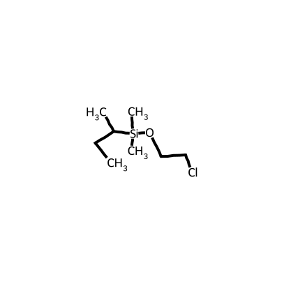 CCC(C)[Si](C)(C)OCCCl